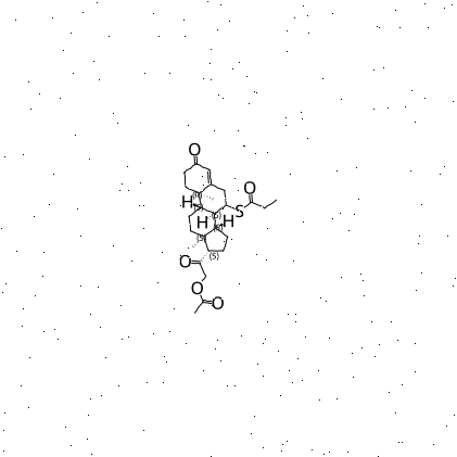 CCC(=O)SC1CC2=CC(=O)CC[C@]2(C)[C@H]2CC[C@]3(C)[C@@H](C(=O)COC(C)=O)CC[C@H]3[C@H]12